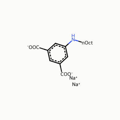 CCCCCCCCNc1cc(C(=O)[O-])cc(C(=O)[O-])c1.[Na+].[Na+]